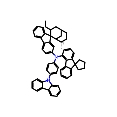 CCC1CC2CC[C@H](C)C(C2)C12c1ccccc1-c1ccc(N(c3ccc(-n4c5ccccc5c5ccccc54)cc3)c3cccc4c3-c3ccccc3C43CCCC3)cc12